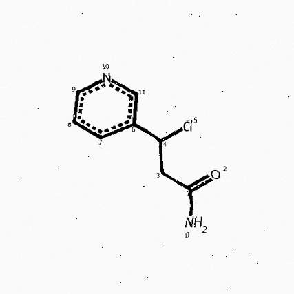 NC(=O)CC(Cl)c1cccnc1